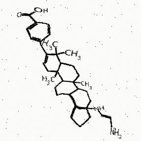 CC1(C)C(c2ccc(C(=O)O)cc2)=CCC2(C)C1CCC1(C)C3CCC4(NCCN)CCCC4C3CCC12